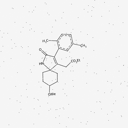 CCOC(=O)CC1=C(c2cc(C)ccc2C)C(=O)NC12CCC(OC)CC2